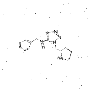 c1ccc(CNc2nnnn2C[C@@H]2CCCN2)cc1